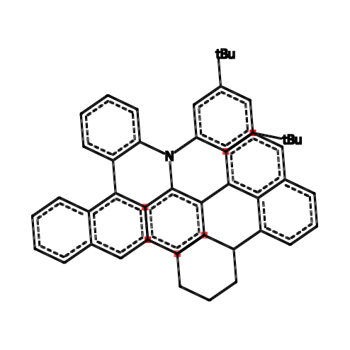 CC(C)(C)c1cc(N(c2ccccc2-c2cccc3ccccc23)c2ccccc2-c2cccc3cccc(C4CCCCC4)c23)cc(C(C)(C)C)c1